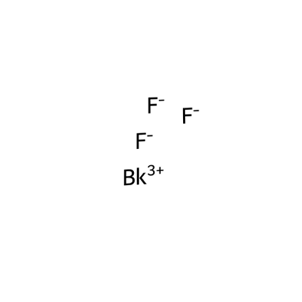 [Bk+3].[F-].[F-].[F-]